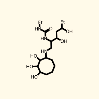 CCNC(=O)NC(CNC1CCCCC(O)C(O)C1O)C(O)CC(O)CC